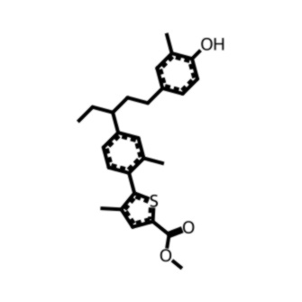 CCC(CCc1ccc(O)c(C)c1)c1ccc(-c2sc(C(=O)OC)cc2C)c(C)c1